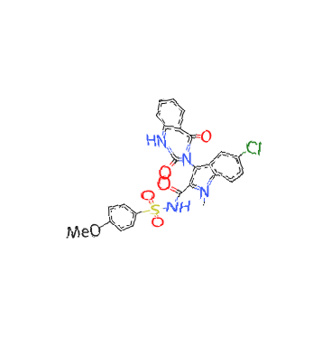 COc1ccc(S(=O)(=O)NC(=O)c2c(-n3c(=O)[nH]c4ccccc4c3=O)c3cc(Cl)ccc3n2C)cc1